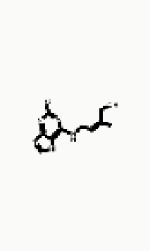 CCc1nc(NCC=C(C)CO)c2[nH]cnc2n1